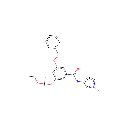 CCOC(C)(C)Oc1cc(OCc2ccccc2)cc(C(=O)Nc2ccn(C)c2)c1